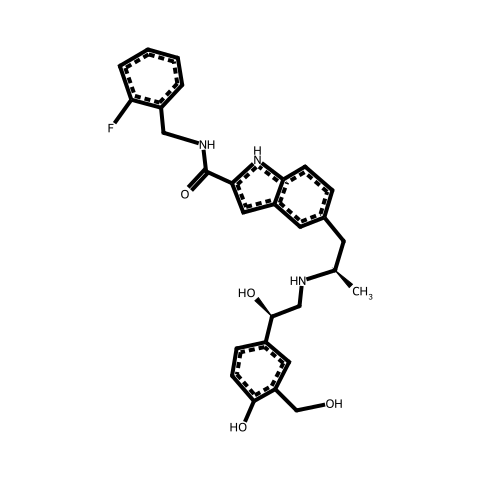 C[C@H](Cc1ccc2[nH]c(C(=O)NCc3ccccc3F)cc2c1)NC[C@H](O)c1ccc(O)c(CO)c1